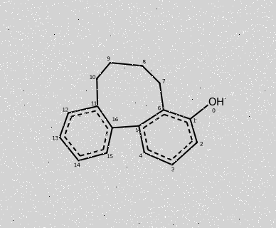 Oc1cccc2c1CCCCc1ccccc1-2